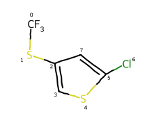 FC(F)(F)Sc1csc(Cl)c1